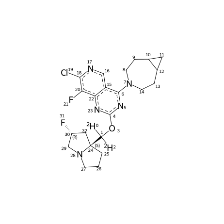 [2H]C([2H])(Oc1nc(N2CCC3CC3CC2)c2cnc(Cl)c(F)c2n1)[C@@]12CCCN1C[C@H](F)C2